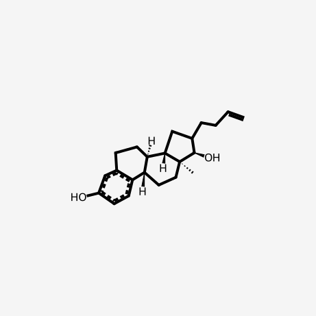 C=CCCC1C[C@H]2[C@@H]3CCc4cc(O)ccc4[C@H]3CC[C@]2(C)[C@@H]1O